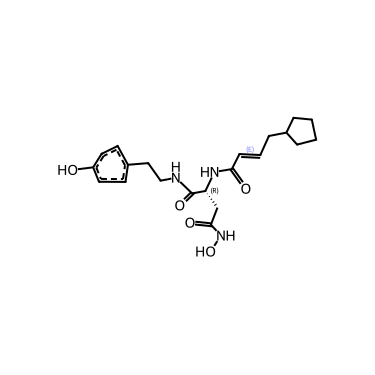 O=C(/C=C/CC1CCCC1)N[C@H](CC(=O)NO)C(=O)NCCc1ccc(O)cc1